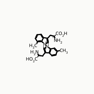 Cc1ccc2c(C[C@H](N)C(=O)O)c[nH]c2c1.Cc1cccc2c(C[C@H](N)C(=O)O)c[nH]c12